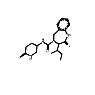 CCC(C)C1C(=O)Nc2ccccc2CN1C(=O)NC1CCC(=O)NC1